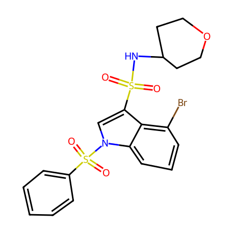 O=S(=O)(NC1CCOCC1)c1cn(S(=O)(=O)c2ccccc2)c2cccc(Br)c12